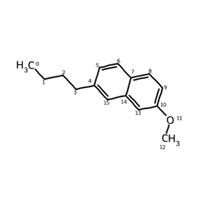 CCCCc1ccc2ccc(OC)cc2c1